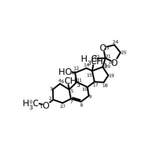 COC1CCC2(C)C(=CCC3C2C(O)CC2(C)C3CCC2C2(C)OCCO2)C1